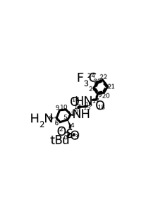 CC(C)(C)S(=O)(=O)C[C@H]1C[C@H](N)CC[C@@H]1NC(=O)CNC(=O)c1cccc(C(F)(F)F)c1